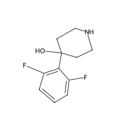 OC1(c2c(F)cccc2F)CCNCC1